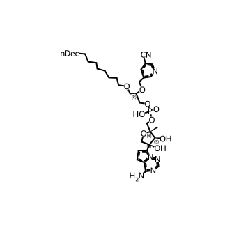 CCCCCCCCCCCCCCCCCCOC[C@H](COP(=O)(O)OC[C@@]1(C)OC[C@@](O)(c2ccc3c(N)ncnn23)[C@@H]1O)OCc1cncc(C#N)c1